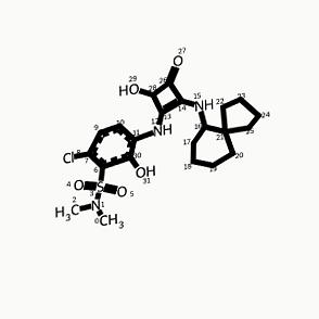 CN(C)S(=O)(=O)c1c(Cl)ccc(NC2=C(NC3CCCCC34CCCC4)C(=O)C2O)c1O